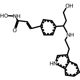 O=C(C=Cc1ccc(C(CCO)NCCc2c[nH]c3ccccc23)cc1)NO